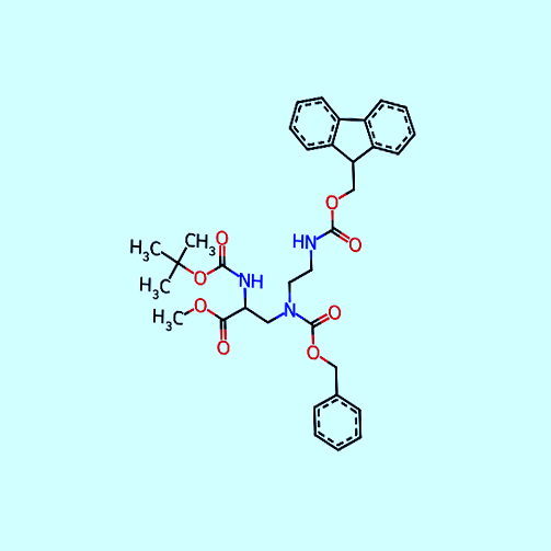 COC(=O)C(CN(CCNC(=O)OCC1c2ccccc2-c2ccccc21)C(=O)OCc1ccccc1)NC(=O)OC(C)(C)C